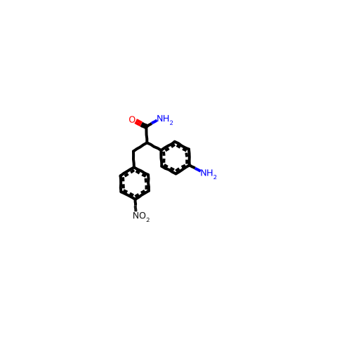 NC(=O)C(Cc1ccc([N+](=O)[O-])cc1)c1ccc(N)cc1